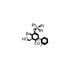 CC(C)[Si](OC1=C[C@@H](c2ccccc2)[C@@H](C(=O)O)[C@@H](CO)C1Br)(C(C)C)C(C)C